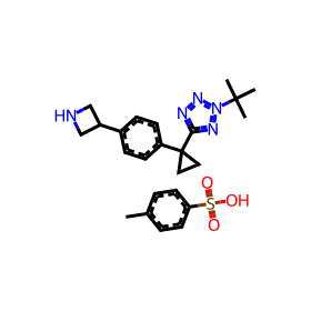 CC(C)(C)n1nnc(C2(c3ccc(C4CNC4)cc3)CC2)n1.Cc1ccc(S(=O)(=O)O)cc1